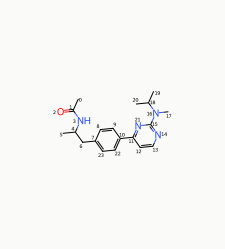 CC(=O)NC(C)Cc1ccc(-c2ccnc(N(C)C(C)C)n2)cc1